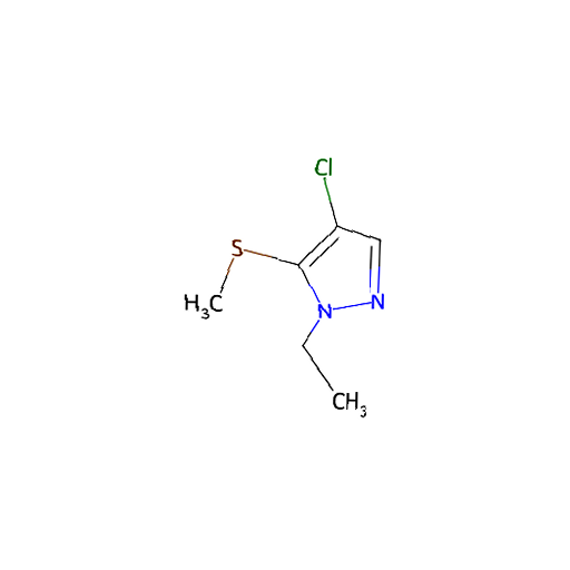 CCn1ncc(Cl)c1SC